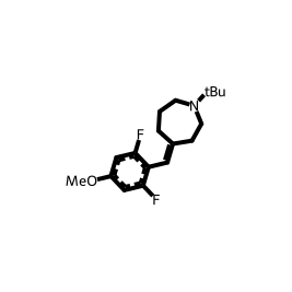 COc1cc(F)c(C=C2CCCN(C(C)(C)C)CC2)c(F)c1